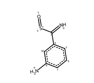 N=C([S+]=O)c1cccc(N)c1